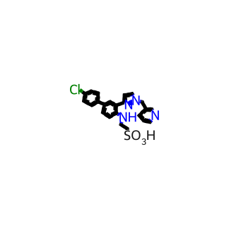 O=S(=O)(O)CCNc1ccc(-c2ccc(Cl)cc2)cc1-c1ccn(Cc2cccnc2)n1